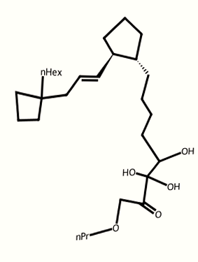 CCCCCCC1(CC=C[C@H]2CCC[C@@H]2CCCCC(O)C(O)(O)C(=O)COCCC)CCC1